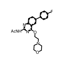 CC(=O)Nc1nc(OCCN2CCOCC2)c2cc(-c3ccc(F)cc3)ccc2n1